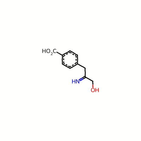 N=C(CO)Cc1ccc(C(=O)O)cc1